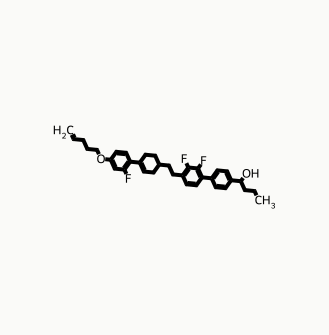 C=CCCCOc1ccc(C2=CCC(CCc3ccc(-c4ccc(C(O)CCC)cc4)c(F)c3F)CC2)c(F)c1